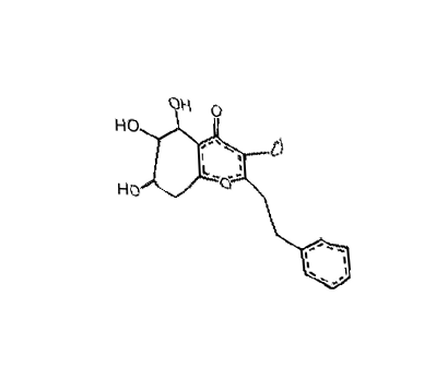 O=c1c(Cl)c(CCc2ccccc2)oc2c1C(O)C(O)C(O)C2